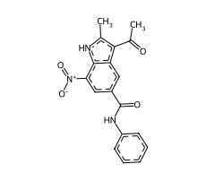 CC(=O)c1c(C)[nH]c2c([N+](=O)[O-])cc(C(=O)Nc3ccccc3)cc12